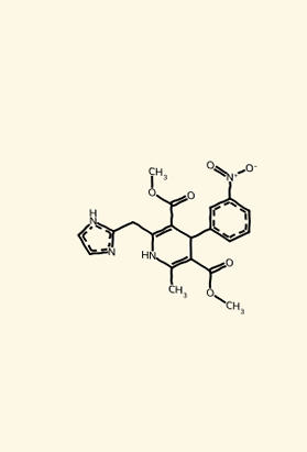 COC(=O)C1=C(C)NC(Cc2ncc[nH]2)=C(C(=O)OC)C1c1cccc([N+](=O)[O-])c1